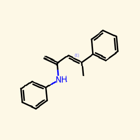 C=C(/C=C(\C)c1ccccc1)Nc1ccccc1